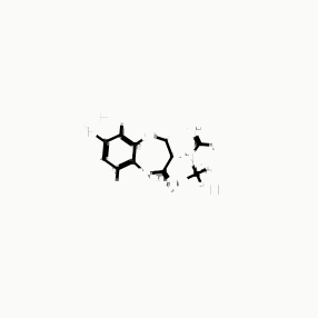 Cc1c(F)cc(F)c2c1OC[C@H](N(C(=O)O)C(C)(C)C)C(=O)N2